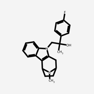 CN1C2CCC1c1c(n(CC(C)(O)c3ccc(F)cc3)c3ccccc13)C2